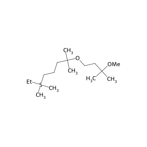 CCS(C)(C)CCCC(C)(C)OCCC(C)(C)OC